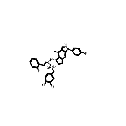 C[C@H]1C2=CNN(c3ccc(F)cc3)C2=CC2=C1[C@@H](CN(CCc1ccccc1F)S(=O)(=O)Cc1ccc(Cl)c(Cl)c1)CC2